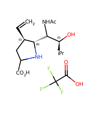 C=C[C@@H]1CC(C(=O)O)N[C@H]1C(NC(C)=O)[C@@H](O)C(C)C.O=C(O)C(F)(F)F